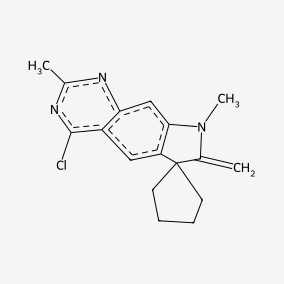 C=C1N(C)c2cc3nc(C)nc(Cl)c3cc2C12CCCC2